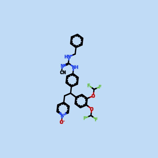 N#CN=C(NCc1ccccc1)Nc1ccc(C(Cc2cc[n+]([O-])cc2)c2ccc(OC(F)F)c(OC(F)F)c2)cc1